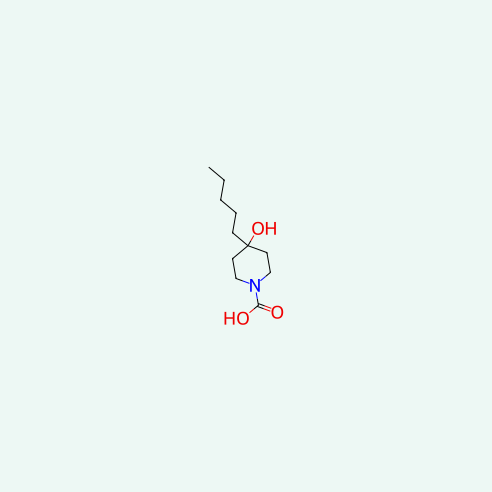 CCCCCC1(O)CCN(C(=O)O)CC1